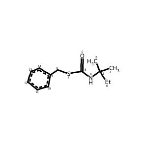 CCC(C)(C)NC(=O)SCc1ccccc1